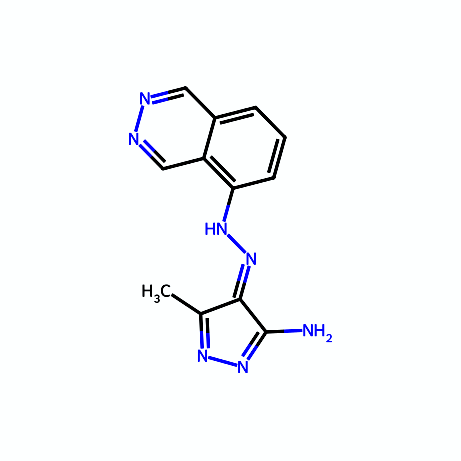 CC1=NN=C(N)/C1=N/Nc1cccc2cnncc12